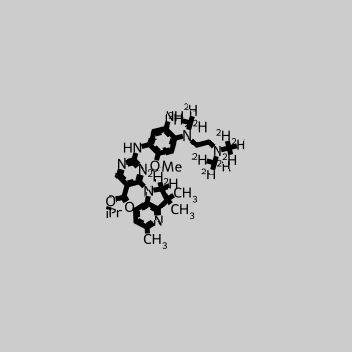 [2H]C([2H])([2H])N(CCN(C([2H])([2H])[2H])C([2H])([2H])[2H])c1cc(OC)c(Nc2ncc(C(=O)OC(C)C)c(N3c4ccc(C)nc4C(C)(C)C3([2H])[2H])n2)cc1N